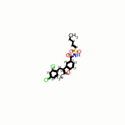 CCCC=CS(=O)(=O)NC(=O)c1ccc2oc(C)c(Cc3ccc(Cl)cc3Cl)c2c1